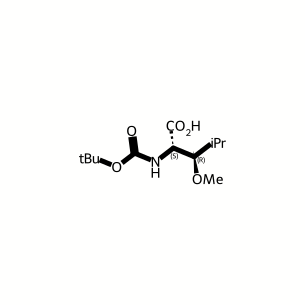 CO[C@H](C(C)C)[C@H](NC(=O)OC(C)(C)C)C(=O)O